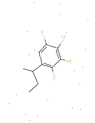 CCC(C)c1cc(F)c(F)c(F)c1F